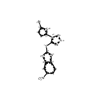 O=[N+]([O-])c1ccc2nc(Sc3nnnn3-c3ccc(Br)s3)sc2c1